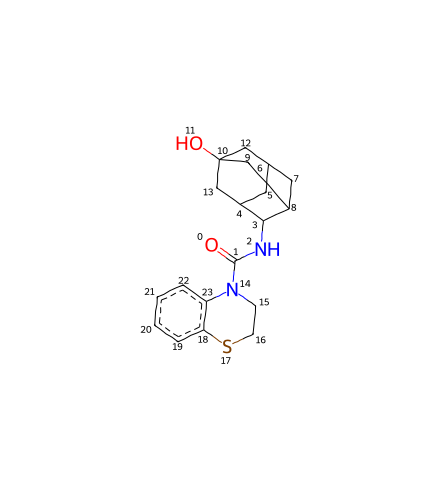 O=C(NC1C2CC3CC1CC(O)(C3)C2)N1CCSc2ccccc21